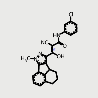 Cn1nc(/C(O)=C(\C#N)C(=O)Nc2cccc(Cl)c2)c2c1-c1cccc3c1C2CCC3